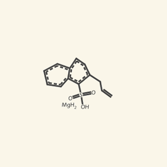 C=CCc1ccc2ccccc2c1S(=O)(=O)O.[MgH2]